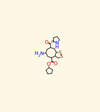 NC1CC(C(=O)[C@@H]2CCCN2)CC2SSCC2C(C(=O)OC2CCCC2)C1